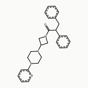 O=C(C(Cc1ccccc1)c1ccccc1)N1CC(N2CCN(c3ccccn3)CC2)C1